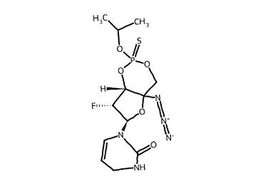 CC(C)OP1(=S)OCC2(N=[N+]=[N-])O[C@@H](N3C=CCNC3=O)[C@H](F)[C@@H]2O1